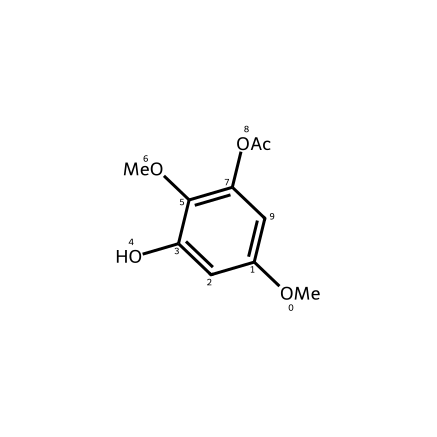 COc1cc(O)c(OC)c(OC(C)=O)c1